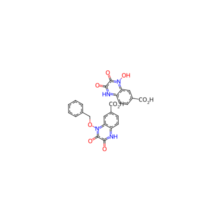 O=C(O)c1ccc2[nH]c(=O)c(=O)n(O)c2c1.O=C(O)c1ccc2[nH]c(=O)c(=O)n(OCc3ccccc3)c2c1